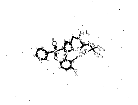 CN(Cc1cc(S(=O)(=O)c2cccnc2)n(-c2cccc(Cl)c2F)n1)C(=O)OC(C)(C)C